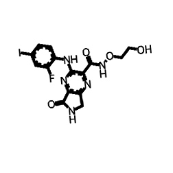 O=C1NCc2nc(C(=O)NOCCO)c(Nc3ccc(I)cc3F)nc21